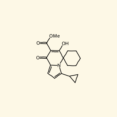 COC(=O)C1=C(O)C2(CCCCC2)n2c(ccc2C2CC2)C1=O